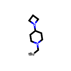 CC(C)(C)CN1CCC(N2CCC2)CC1